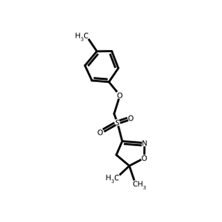 Cc1ccc(OCS(=O)(=O)C2=NOC(C)(C)C2)cc1